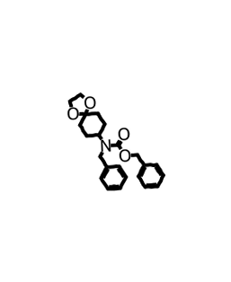 O=C(OCc1ccccc1)N(Cc1ccccc1)C1CCC2(CC1)OCCO2